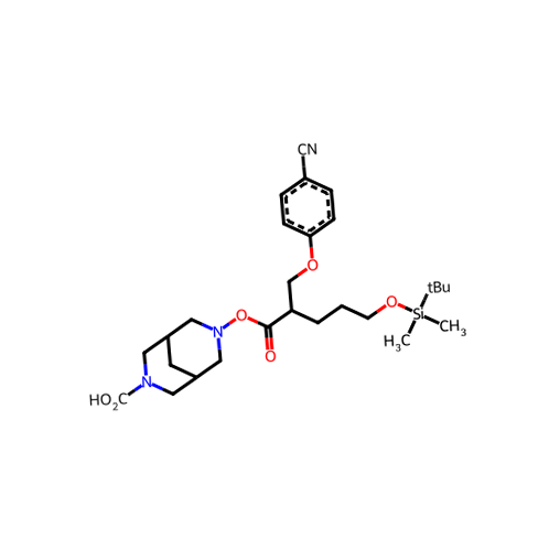 CC(C)(C)[Si](C)(C)OCCCC(COc1ccc(C#N)cc1)C(=O)ON1CC2CC(C1)CN(C(=O)O)C2